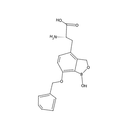 N[C@@H](Cc1ccc(OCc2ccccc2)c2c1COB2O)C(=O)O